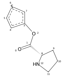 O=C(Oc1ccsc1)[C@@H]1CCCN1